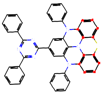 c1ccc(-c2nc(-c3ccccc3)nc(-c3cc(N(c4ccccc4)c4ccccc4)c(N4c5ccccc5Sc5ccccc54)c(N(c4ccccc4)c4ccccc4)c3)n2)cc1